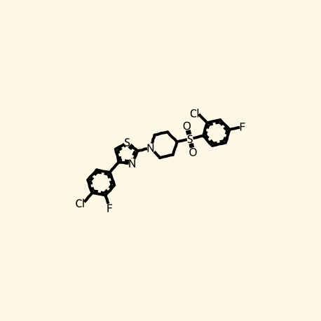 O=S(=O)(c1ccc(F)cc1Cl)C1CCN(c2nc(-c3ccc(Cl)c(F)c3)cs2)CC1